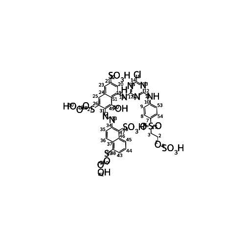 O=S(=O)(O)OCCS(=O)(=O)c1ccc(Nc2nc(Cl)nc(Nc3cc(S(=O)(=O)O)cc4cc(SOOO)c(N=Nc5ccc6c(SOOO)cccc6c5S(=O)(=O)O)c(O)c34)n2)cc1